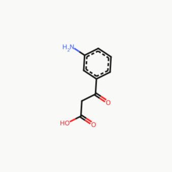 Nc1cccc(C(=O)CC(=O)O)c1